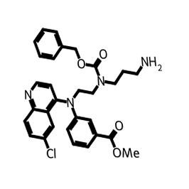 COC(=O)c1cccc(N(CCN(CCCN)C(=O)OCc2ccccc2)c2ccnc3ccc(Cl)cc23)c1